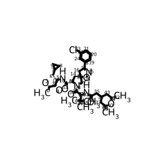 CC(=O)C(=O)[C@H](CC1CC1)NC(=O)[C@@H]1C[C@]2(CC(c3cccc(Cl)c3)=NO2)CN1C(=O)[C@@H](NC(=O)CC1C[C@@H](C)O[C@@H](C)C1)C(C)(C)C